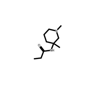 CCC(=O)NC1(C)CCCN(C)C1